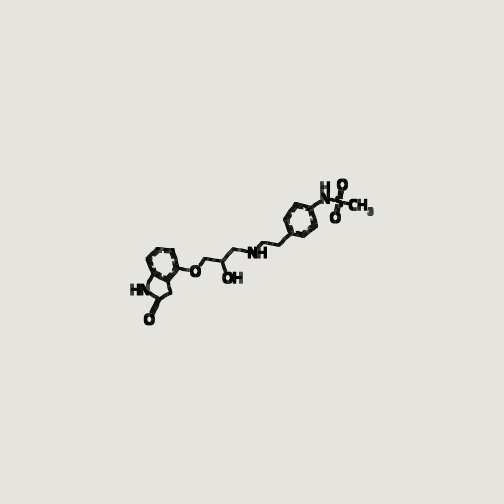 CS(=O)(=O)Nc1ccc(CCNCC(O)COc2cccc3c2CC(=O)N3)cc1